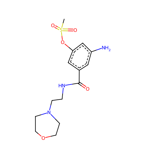 CS(=O)(=O)Oc1cc(N)cc(C(=O)NCCN2CCOCC2)c1